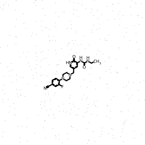 CCNC(=O)Nc1cc(CN2CCN(c3ccc(C#N)cc3F)CC2)c[nH]c1=O